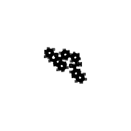 O=C(Nc1cccc(-c2cccc(-n3c(=O)c(Cc4cccnc4)nc4cccnc43)c2)c1)c1cnc2ccccc2n1